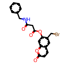 O=C(CC(=O)Oc1cc2oc(=O)ccc2cc1CBr)NCc1ccccc1